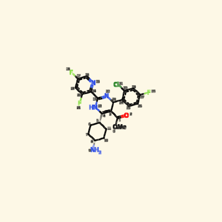 COC(=O)C1=C([C@H]2CC[C@@H](N)CC2)NC(c2ncc(F)cc2F)=NC1c1ccc(F)cc1Cl